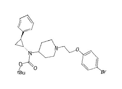 CC(C)(C)OC(=O)N(C1CCN(CCOc2ccc(Br)cc2)CC1)[C@@H]1C[C@H]1c1ccccc1